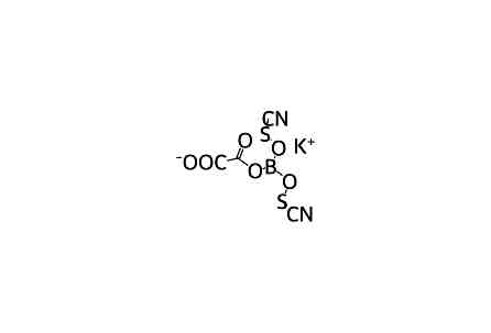 N#CSOB(OSC#N)OC(=O)C(=O)[O-].[K+]